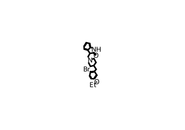 CCOc1ccc(Br)c(CC2CCN(CC3C(=O)Nc4ccccc43)CC2)c1